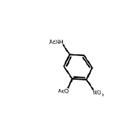 CC(=O)Nc1ccc([N+](=O)[O-])c(OC(C)=O)c1